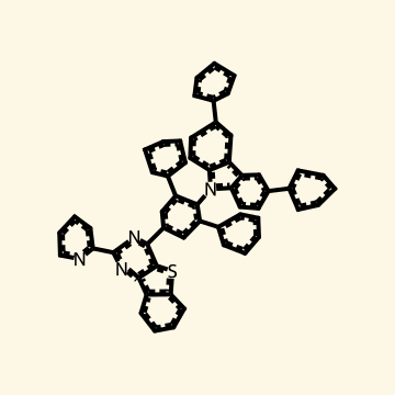 c1ccc(-c2ccc3c(c2)c2cc(-c4ccccc4)ccc2n3-c2c(-c3ccccc3)cc(-c3nc(-c4ccccn4)nc4c3sc3ccccc34)cc2-c2ccccc2)cc1